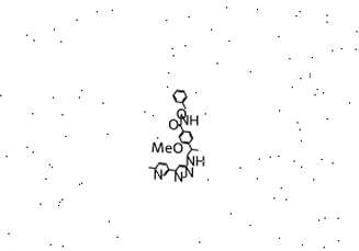 COc1cc(C(=O)NOCc2ccccc2)ccc1C(C)CNc1cc(-c2ccc(C)nc2)ncn1